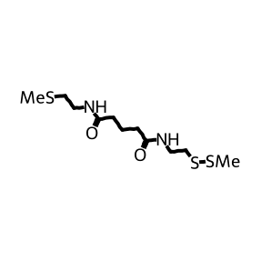 CSCCNC(=O)CCCC(=O)NCCSSC